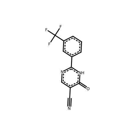 N#Cc1cnc(-c2cccc(C(F)(F)F)c2)[nH]c1=O